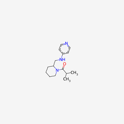 CC(C)C(=O)N1CCCCC1CNc1ccncc1